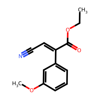 CCOC(=O)/C(=C/C#N)c1cccc(OC)c1